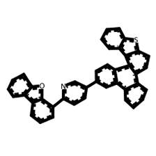 c1ccc2c(c1)oc1c(-c3ccc(-c4ccc5c(c4)c4ccccc4c4ccc6sc7ccccc7c6c45)cn3)cccc12